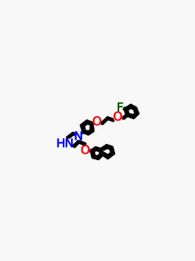 Fc1ccccc1COCCCOc1ccc(N2CCNCC2COc2ccc3ccccc3c2)cc1